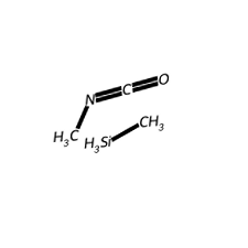 CN=C=O.C[SiH3]